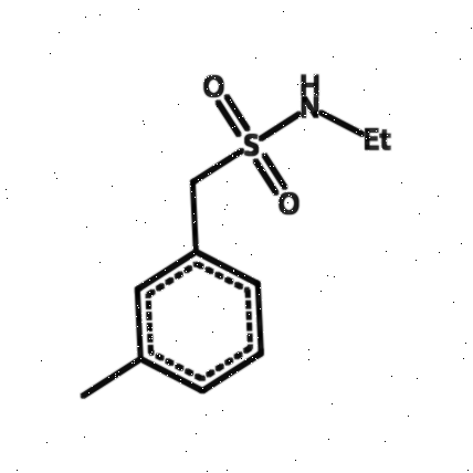 CCNS(=O)(=O)Cc1cccc(C)c1